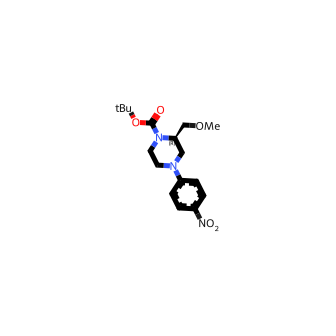 COC[C@H]1CN(c2ccc([N+](=O)[O-])cc2)CCN1C(=O)OC(C)(C)C